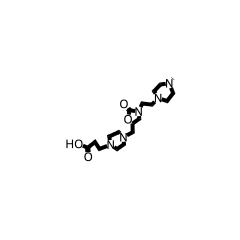 CN1CCN(CCN2CC(CN3CCN(CCC(=O)O)CC3)OC2=O)CC1